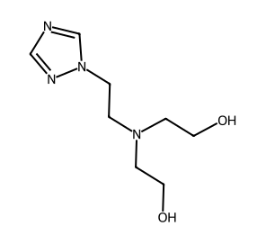 OCCN(CCO)CCn1cncn1